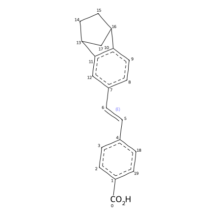 O=C(O)c1ccc(/C=C/c2ccc3c(c2)C2CCC3C2)cc1